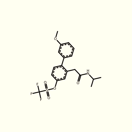 COc1cccc(-c2ccc(OS(=O)(=O)C(F)(F)F)cc2CC(=O)NC(C)C)c1